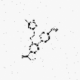 Cc1cc(COc2cc3c(cc2-c2ccc(C(=O)O)cc2)CCC3=O)no1